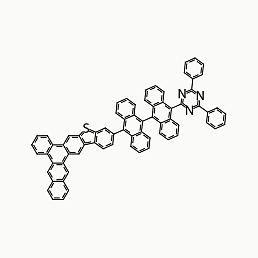 c1ccc(-c2nc(-c3ccccc3)nc(-c3c4ccccc4c(-c4c5ccccc5c(-c5ccc6c(c5)sc5cc7c8ccccc8c8cc9ccccc9cc8c7cc56)c5ccccc45)c4ccccc34)n2)cc1